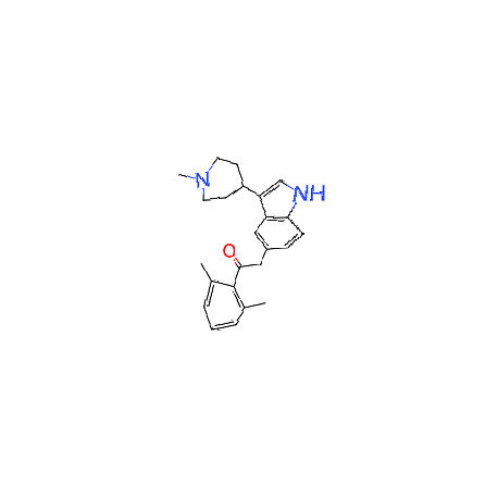 Cc1cccc(C)c1C(=O)Cc1ccc2[nH]cc(C3CCN(C)CC3)c2c1